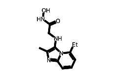 CCc1cccc2nc(C)c(NCC(=O)NO)n12